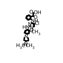 COc1cc(N2CCC(N(C)C)CC2)ccc1Nc1ncc(Cl)c(Nc2ccccc2C(=O)C(=O)O)n1